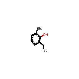 CCC(C)Cc1cccc(C(C)(C)C)c1O